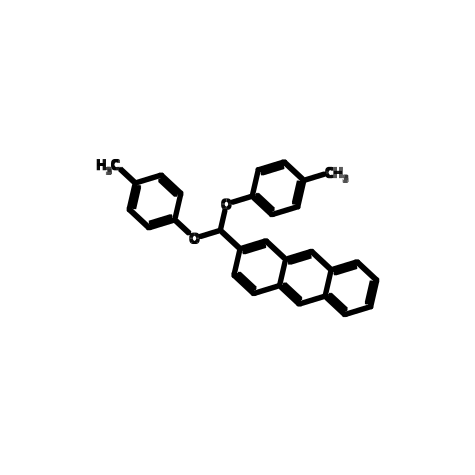 Cc1ccc(OC(Oc2ccc(C)cc2)c2ccc3cc4ccccc4cc3c2)cc1